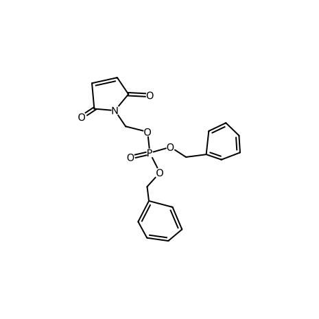 O=C1C=CC(=O)N1COP(=O)(OCc1ccccc1)OCc1ccccc1